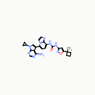 Nc1ncnc2c1c(-c1ccc(NC(=O)Nc3cc(C4(C(F)(F)F)CCC4)on3)c3nccn13)cn2C1CC1